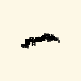 COc1cccc(C(=O)Nc2ccc(-n3cc(C(=O)O)c(N(C(=O)C4CCC(C)CC4)C(C)C)n3)cc2)c1